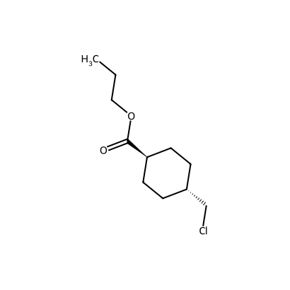 CCCOC(=O)[C@H]1CC[C@H](CCl)CC1